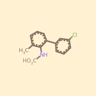 Cc1cccc(-c2cccc(Cl)c2)c1NC(=O)O